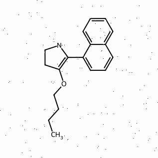 CCCCOC1=C(c2cccc3ccccc23)[N]CC1